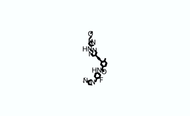 COCCn1cc(Nc2ncc(C#Cc3cc(C(=O)Nc4ccc(CN5CC[C@@H](N(C)C)C5)c(F)c4)ccc3C)cn2)cn1